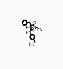 N#CCNC(=O)C(Cc1ccccc1)NC(=S)Nc1ccc(CC(F)(F)F)cc1